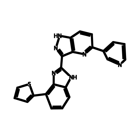 c1cncc(-c2ccc3[nH]nc(-c4nc5c(-c6cccs6)cccc5[nH]4)c3n2)c1